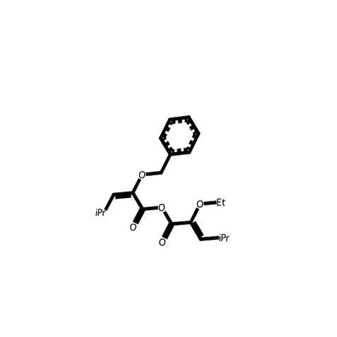 CCOC(=CC(C)C)C(=O)OC(=O)C(=CC(C)C)OCc1ccccc1